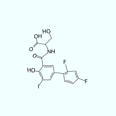 O=C(NC(CO)C(=O)O)c1cc(-c2ccc(F)cc2F)cc(I)c1O